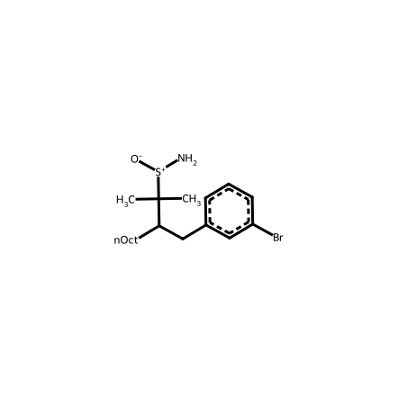 CCCCCCCCC(Cc1cccc(Br)c1)C(C)(C)[S+](N)[O-]